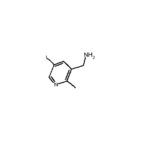 Cc1ncc(I)cc1CN